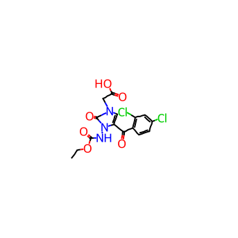 CCOC(=O)Nn1c(C(=O)c2ccc(Cl)cc2Cl)cn(CC(=O)O)c1=O